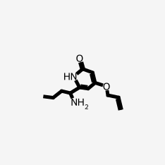 C=CCOc1cc(C(N)CCC)[nH]c(=O)c1